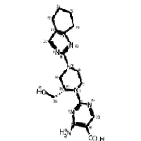 Nc1nc(N2CCN(c3ncc4c(n3)CCCC4)C[C@H]2CO)ncc1C(=O)O